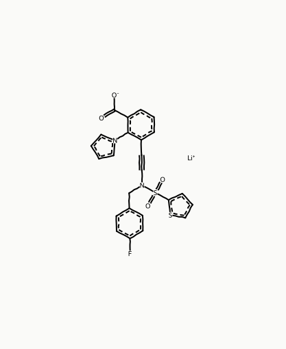 O=C([O-])c1cccc(C#CN(Cc2ccc(F)cc2)S(=O)(=O)c2cccs2)c1-n1cccc1.[Li+]